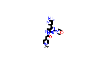 CC(=O)N1CCC(CC(=O)n2ncc3c(-c4ccc(N)nc4)nc(N4CCOCC4)nc32)CC1